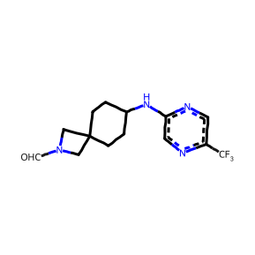 O=CN1CC2(CCC(Nc3cnc(C(F)(F)F)cn3)CC2)C1